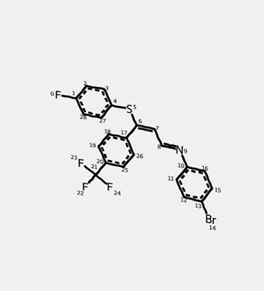 Fc1ccc(SC(=CC=Nc2ccc(Br)cc2)c2ccc(C(F)(F)F)cc2)cc1